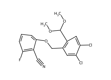 COC(OC)c1cc(Cl)c(Cl)cc1COc1cccc(F)c1C#N